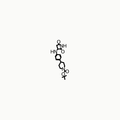 CC(C)(C)OC(=O)N1CCC(c2ccc(NC3CC(=O)NC3=O)cc2)CC1